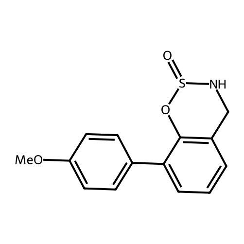 COc1ccc(-c2cccc3c2OS(=O)NC3)cc1